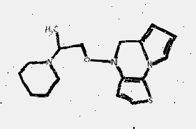 CC(CON1Cc2cccn2-c2sccc21)N1CCCCC1